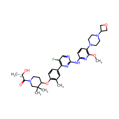 COc1nc(Nc2ncc(F)c(-c3ccc(OC4CCN(C(=O)[C@H](C)O)CC4(C)C)c(C)c3)n2)ccc1N1CCN(C2COC2)CC1